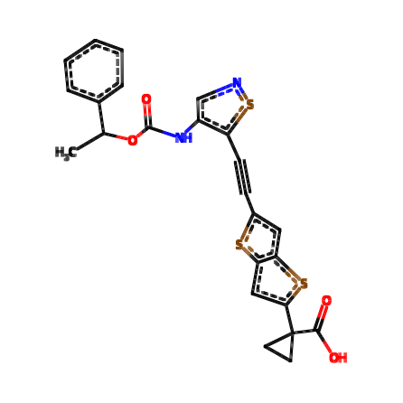 CC(OC(=O)Nc1cnsc1C#Cc1cc2sc(C3(C(=O)O)CC3)cc2s1)c1ccccc1